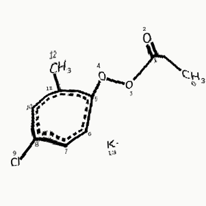 CC(=O)OOc1ccc(Cl)cc1C.[K]